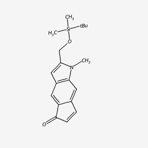 Cn1c(CO[Si](C)(C)C(C)(C)C)cc2cc3c(cc21)C=CC3=O